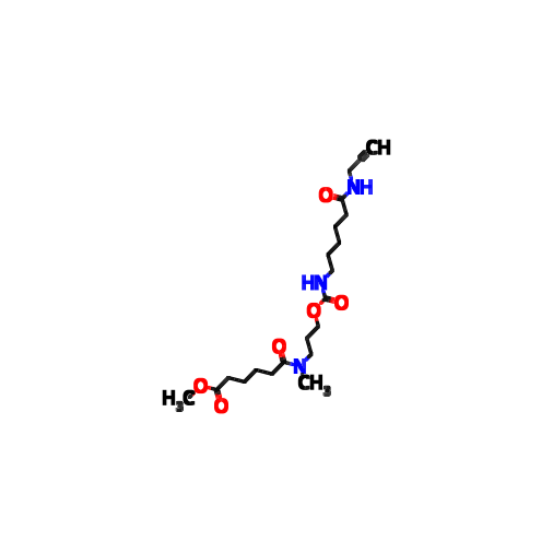 C#CCNC(=O)CCCCCNC(=O)OCCCN(C)C(=O)CCCCC(=O)OC